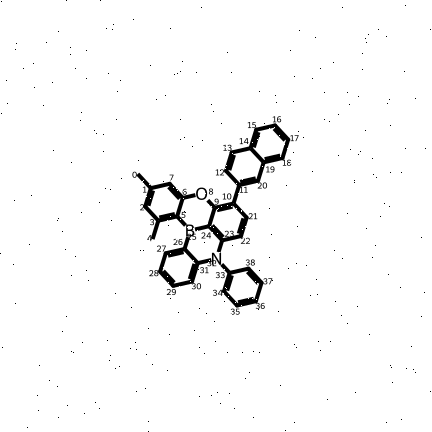 Cc1cc(C)c2c(c1)Oc1c(-c3ccc4ccccc4c3)ccc3c1B2c1ccccc1N3c1ccccc1